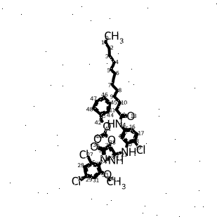 CCCCCCCCCCCCC(=O)Nc1ccc(Cl)c(Nc2[nH]n(-c3c(Cl)cc(Cl)cc3OC)c(=O)c2OC(=O)OCc2ccccc2)c1